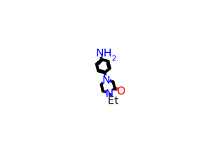 CCN1CCN(c2ccc(N)cc2)CC1=O